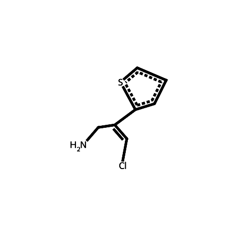 NCC(=CCl)c1cccs1